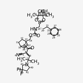 CC(C)(C=C(C#N)C(=O)N1C2CCC1(COC(=O)N[C@@H](CCc1ccccc1)B1OC(C)(C)C(C)(C)O1)CC2)N1CCC(F)(F)C1